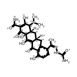 C/C(=N/NC(N)=O)c1ccc(O)c2c1C[C@H]1C[C@H]3C(N(C)C)C(O)=C(C(N)=O)C(=O)[C@@]3(O)C(O)=C1C2=O